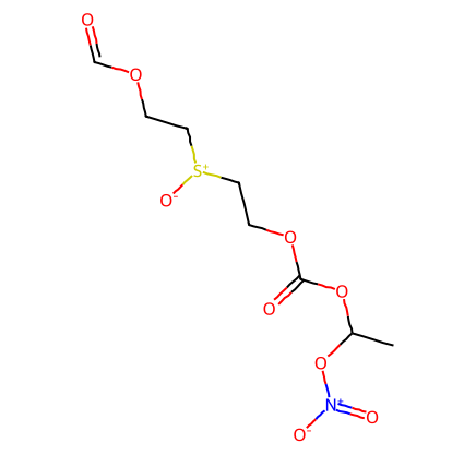 CC(OC(=O)OCC[S+]([O-])CCOC=O)O[N+](=O)[O-]